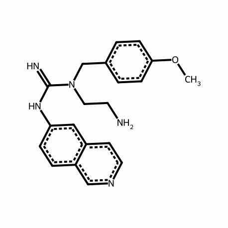 COc1ccc(CN(CCN)C(=N)Nc2ccc3cnccc3c2)cc1